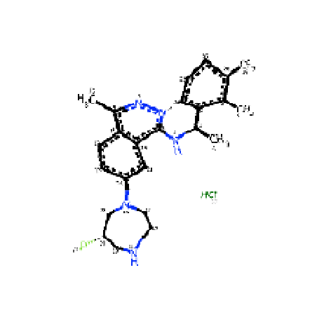 Cc1c(C(C)Nc2nnc(C)c3ccc(N4CCNC[C@H](F)C4)cc23)cccc1C(F)(F)F.Cl